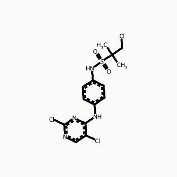 CC(C)(CCl)S(=O)(=O)Nc1ccc(Nc2nc(Cl)ncc2Cl)cc1